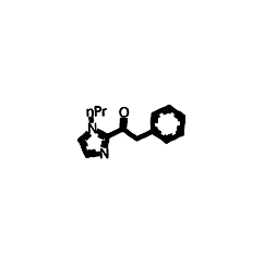 CCCn1ccnc1C(=O)Cc1ccccc1